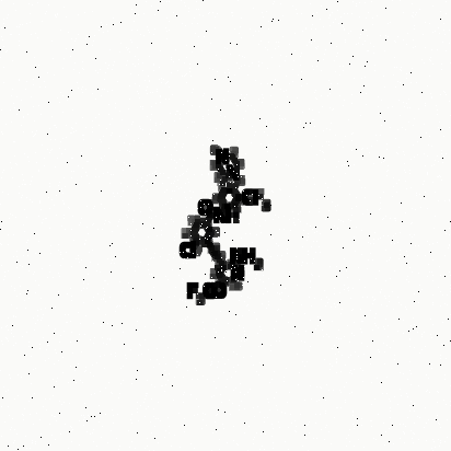 CN1CCN(Cc2ccc(NC(=O)c3ccc(Cl)c(C#Cc4cc(OC(F)(F)F)cnc4N)c3)cc2C(F)(F)F)CC1